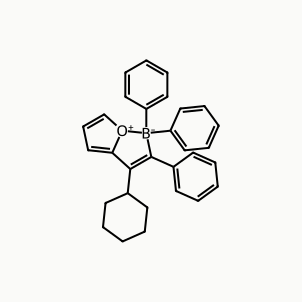 c1ccc(C2=C(C3CCCCC3)c3ccc[o+]3[B-]2(c2ccccc2)c2ccccc2)cc1